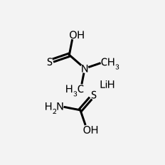 CN(C)C(O)=S.NC(O)=S.[LiH]